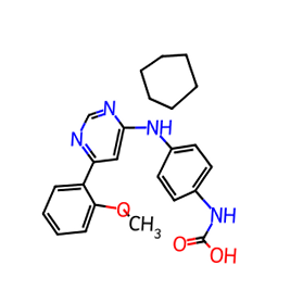 C1CCCCC1.COc1ccccc1-c1cc(Nc2ccc(NC(=O)O)cc2)ncn1